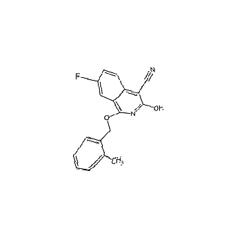 Cc1ccccc1COc1nc(O)c(C#N)c2ccc(F)cc12